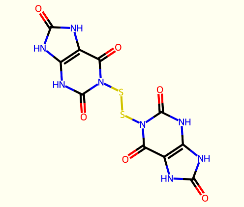 O=c1[nH]c2[nH]c(=O)n(SSn3c(=O)[nH]c4[nH]c(=O)[nH]c4c3=O)c(=O)c2[nH]1